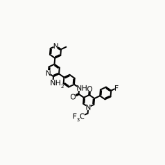 Cc1cc(-c2cnc(N)c(-c3ccc(NC(=O)c4cn(CC(F)(F)F)cc(-c5ccc(F)cc5)c4=O)cc3)c2)ccn1